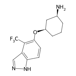 N[C@H]1CCC[C@@H](Oc2ccc3[nH]ncc3c2C(F)(F)F)C1